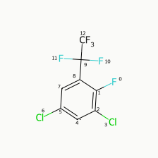 Fc1c(Cl)[c]c(Cl)cc1C(F)(F)C(F)(F)F